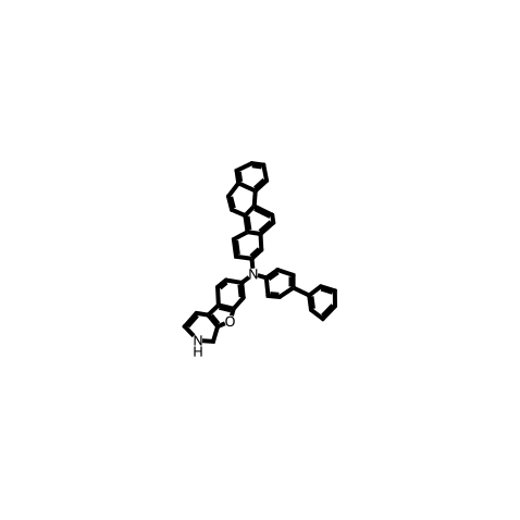 C1=Cc2c(oc3cc(N(c4ccc(-c5ccccc5)cc4)c4ccc5c(ccc6c7ccccc7ccc56)c4)ccc23)CN1